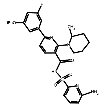 CC(C)COc1cc(F)cc(-c2ccc(C(=O)NS(=O)(=O)c3cccc(N)n3)c(N3CCCCC3C)n2)c1